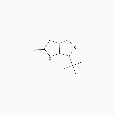 CC(C)(C)C1SCC2CC(=O)NC21